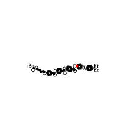 CCC(C)C(=O)OCCCCOc1ccc(C(=O)Oc2ccc(C(=O)Oc3ccc(C(=O)Oc4ccc(N=Nc5ccc(N(CC)CC)cc5)cc4)cc3)cc2)cc1